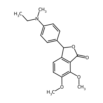 CCN(C)c1ccc(C2OC(=O)c3c2ccc(OC)c3OC)cc1